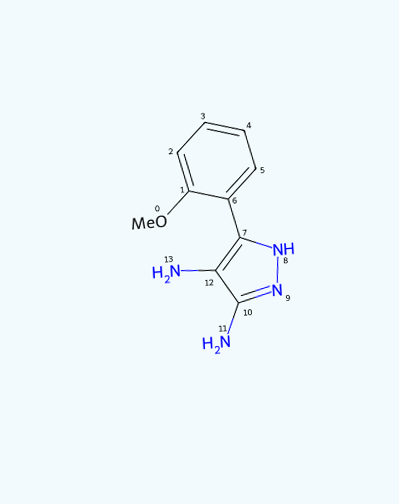 COc1ccccc1-c1[nH]nc(N)c1N